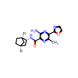 Cc1nc(C(=O)N[C@@H]2C[C@H]3CC[C@@H]2C3)c(N)nc1-c1ncco1